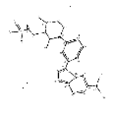 CC1C(CNS(C)(=O)=O)N(C)CCN1c1cc(-c2cnc3ccc(C(F)F)nn23)ncn1